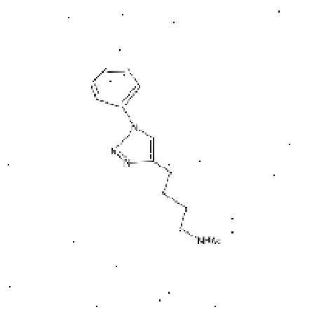 CC(=O)NCCCCc1cn(-c2ccccc2)nn1